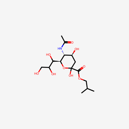 CC(=O)N[C@@H]1[C@@H](O)CC(O)(C(=O)OCC(C)C)O[C@H]1C(O)C(O)CO